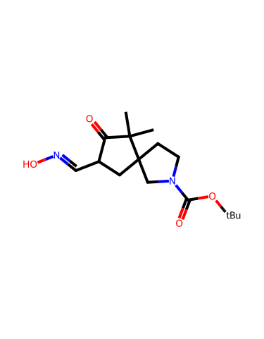 CC(C)(C)OC(=O)N1CCC2(CC(C=NO)C(=O)C2(C)C)C1